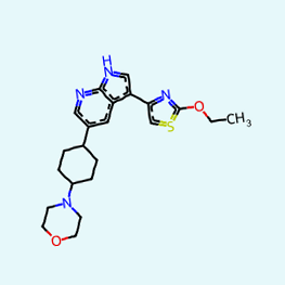 CCOc1nc(-c2c[nH]c3ncc(C4CCC(N5CCOCC5)CC4)cc23)cs1